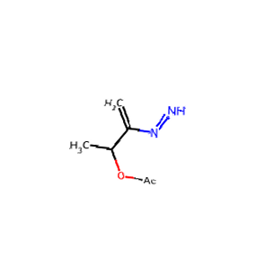 C=C(N=N)C(C)OC(C)=O